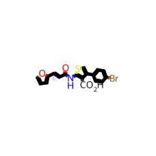 O=C(/C=C/c1ccco1)Nc1scc(-c2ccc(Br)cc2)c1C(=O)O